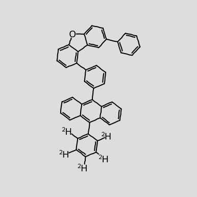 [2H]c1c([2H])c([2H])c(-c2c3ccccc3c(-c3cccc(-c4cccc5oc6ccc(-c7ccccc7)cc6c45)c3)c3ccccc23)c([2H])c1[2H]